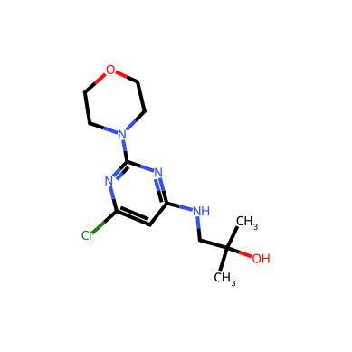 CC(C)(O)CNc1cc(Cl)nc(N2CCOCC2)n1